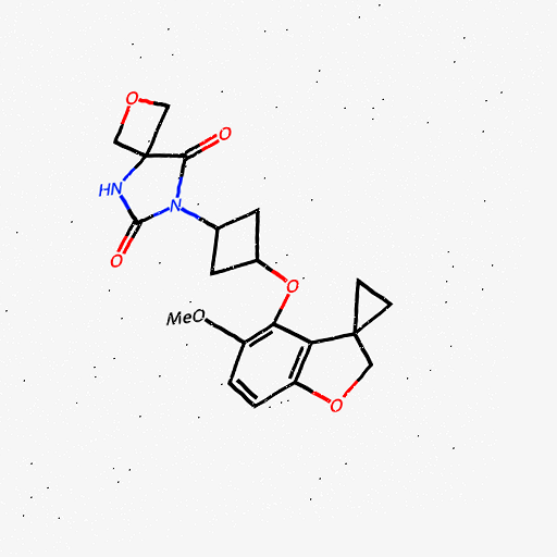 COc1ccc2c(c1OC1CC(N3C(=O)NC4(COC4)C3=O)C1)C1(CC1)CO2